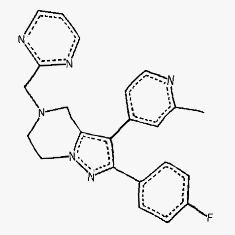 Cc1cc(-c2c(-c3ccc(F)cc3)nn3c2CN(Cc2ncccn2)CC3)ccn1